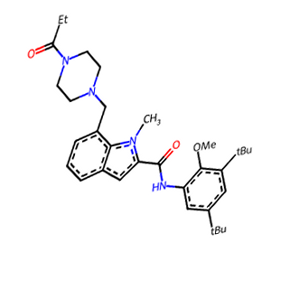 CCC(=O)N1CCN(Cc2cccc3cc(C(=O)Nc4cc(C(C)(C)C)cc(C(C)(C)C)c4OC)n(C)c23)CC1